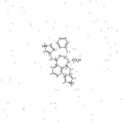 O=C(O)[C@H]1[C@@H](Cc2ccccc2)CN(Cc2c[nH]cn2)c2ccccc2N1Cc1c[nH]cn1